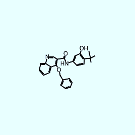 CC(C)(C)c1ccc(NC(=O)c2cnc3ccccc3c2OCc2ccccc2)cc1O